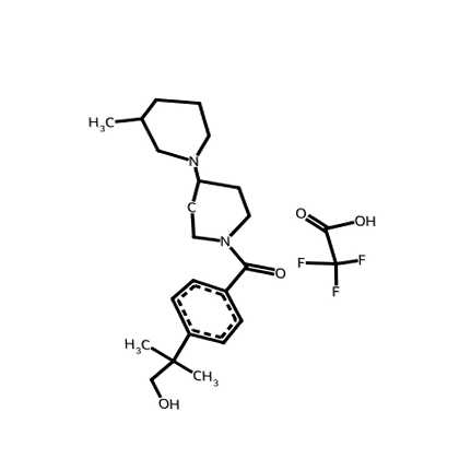 CC1CCCN(C2CCN(C(=O)c3ccc(C(C)(C)CO)cc3)CC2)C1.O=C(O)C(F)(F)F